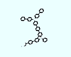 CC(C)CC(c1ccc(-c2ccc3c(c2)c2cc(-c4ccc(-c5ccc(N(c6ccc(-c7ccccc7)cc6)c6ccc(-c7ccccc7)cc6)cc5)cc4)ccc2n3-c2ccccc2)cc1)C(C)C